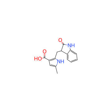 Cc1cc(C(=O)O)c(CC2C(=O)Nc3ccccc32)[nH]1